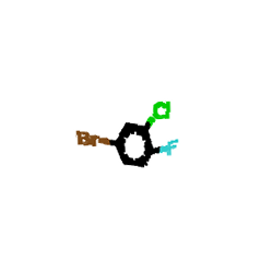 Fc1[c]cc(Br)cc1Cl